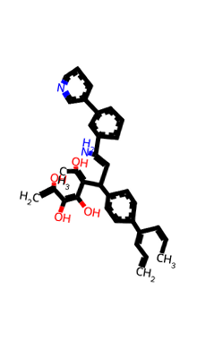 C=C/C=C(\C=C/C)c1ccc(C(/C=C(\N)c2cccc(-c3cccnc3)c2)C(/C(O)=C(/O)C(=C)O)=C(/C)O)cc1